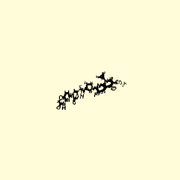 O=C1COc2ccc(N3C[C@H](CNC4CCN(c5nc6c(cc5F)c(=O)c(C(=O)O)cn6C5CC5)C4)OC3=O)nc2N1